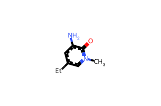 CCc1cc(N)c(=O)n(C)c1